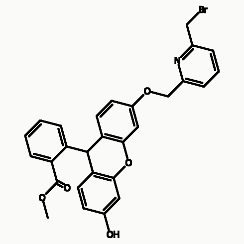 COC(=O)c1ccccc1C1c2ccc(O)cc2Oc2cc(OCc3cccc(CBr)n3)ccc21